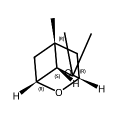 CC1(C)O[C@@H]2C[C@@]3(C)C[C@@H](O2)[C@@H]13